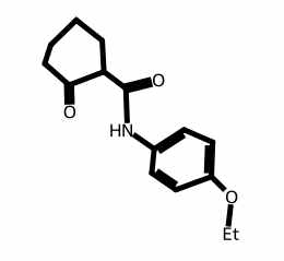 CCOc1ccc(NC(=O)C2CCCCC2=O)cc1